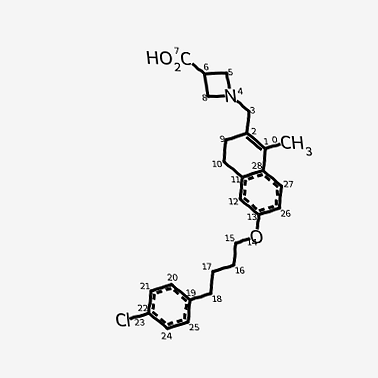 CC1=C(CN2CC(C(=O)O)C2)CCc2cc(OCCCCc3ccc(Cl)cc3)ccc21